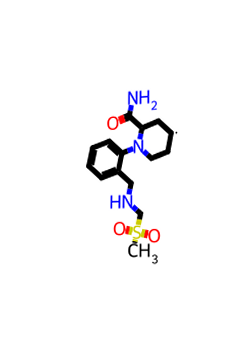 CS(=O)(=O)CNCc1ccccc1N1CC[CH]CC1C(N)=O